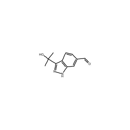 CC(C)(O)c1n[nH]c2cc(C=O)ccc12